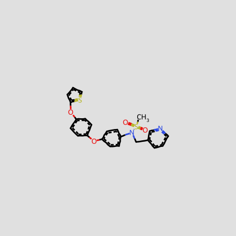 CS(=O)(=O)N(Cc1cccnc1)c1ccc(Oc2ccc(Oc3cccs3)cc2)cc1